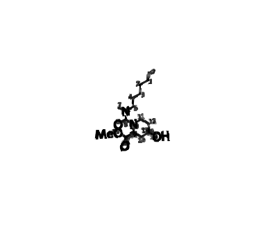 C=CCCCCN(C)C(=O)N1CC[C@@H](O)C[C@H]1C(=O)OC